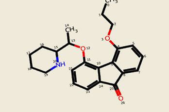 CCCOc1cccc2c1-c1c(OC(C)C3CCCCN3)cccc1C2=O